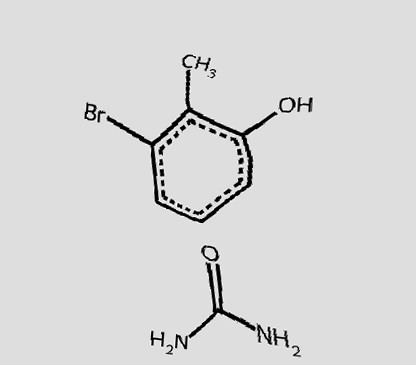 Cc1c(O)cccc1Br.NC(N)=O